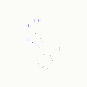 Cc1ccccc1-c1ccc(NN)nn1